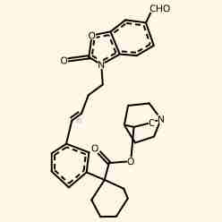 O=Cc1ccc2c(c1)oc(=O)n2CC/C=C/c1cccc(C2(C(=O)OC3CN4CCC3CC4)CCCCC2)c1